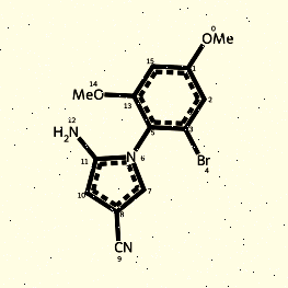 COc1cc(Br)c(-n2cc(C#N)cc2N)c(OC)c1